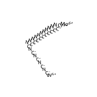 [C-]#N.[C-]#N.[C-]#N.[C-]#N.[C-]#N.[C-]#N.[C-]#N.[C-]#N.[C-]#N.[C-]#N.[C-]#N.[C-]#N.[C-]#N.[C-]#N.[C-]#N.[Cr+3].[Mo+6].[W+6]